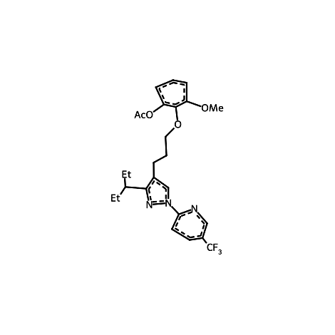 CCC(CC)c1nn(-c2ccc(C(F)(F)F)cn2)cc1CCCOc1c(OC)cccc1OC(C)=O